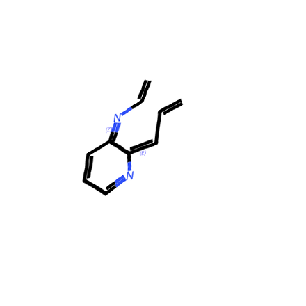 C=C/C=C1/N=CC=C/C1=N/C=C